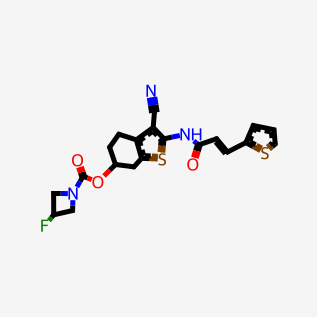 N#Cc1c(NC(=O)C=Cc2cccs2)sc2c1CCC(OC(=O)N1CC(F)C1)C2